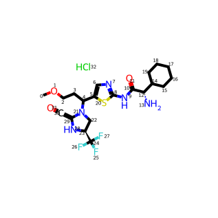 COCCC(c1cnc(NC(=O)[C@@H](N)C2CCCCC2)s1)N1C[C@@H](C(F)(F)F)NC1=C=O.Cl